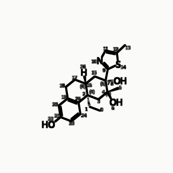 CC[C@@]12C[C@@](C)(O)[C@](O)(c3ncc(C)s3)C[C@H]1CCc1cc(O)ccc12